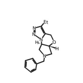 CCc1nnn2c1CO[C@@H]1CN(Cc3ccccc3)C[C@H]12